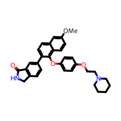 COc1ccc2c(Oc3ccc(OCCN4CCCCC4)cc3)c(-c3ccc4c(c3)C(=O)NC4)ccc2c1